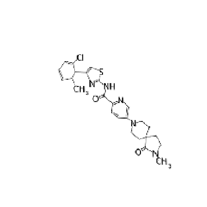 CC1C=CC=C(Cl)C1c1csc(NC(=O)c2ccc(N3CCC4(CCN(C)C4=O)CC3)cn2)n1